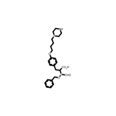 O=CN(OCc1ccccc1)C(Cc1ccc(OCCCCN2CCNCC2)cc1)C(=O)O